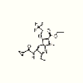 CCOC(=O)c1c(OCC(F)(F)F)c2cc(NC(=O)C3CC3)c(CC)nc2n1C